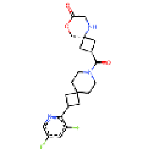 O=C1CN[C@]2(CO1)C[C@H](C(=O)N1CCC3(CC1)CC(c1ncc(F)cc1F)C3)C2